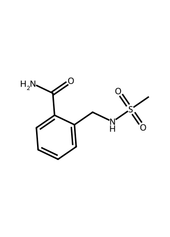 CS(=O)(=O)NCc1ccccc1C(N)=O